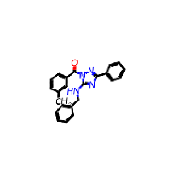 Cc1cccc(C(=O)n2nc(-c3ccccc3)nc2NCc2ccccc2)c1